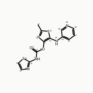 Cc1nc(OC(=O)Nc2nccs2)c(Nc2cccnc2)s1